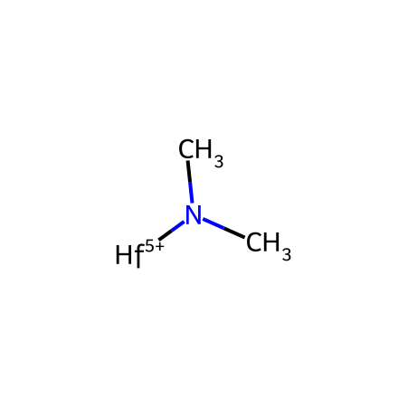 C[N](C)[Hf+5]